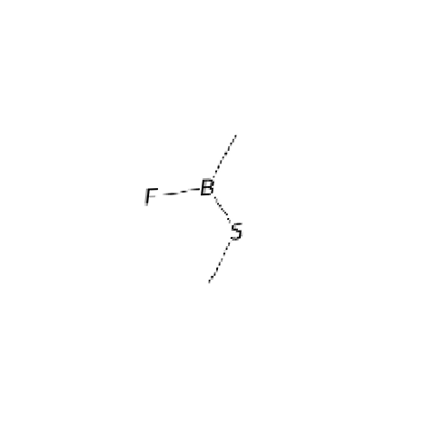 CSB(C)F